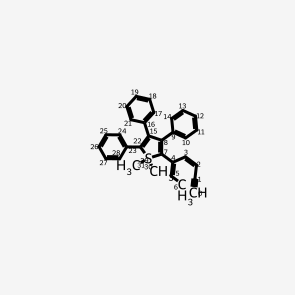 C#C/C=C\C(=C/C)C1=C(c2ccccc2)C(c2ccccc2)=C(c2ccccc2)S1(C)C